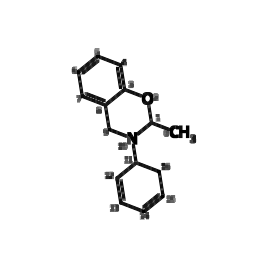 CC1Oc2ccccc2CN1C1C=CC=CC1